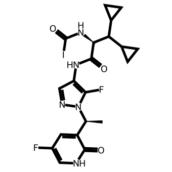 C[C@@H](c1cc(F)c[nH]c1=O)n1ncc(NC(=O)[C@@H](NC(=O)I)C(C2CC2)C2CC2)c1F